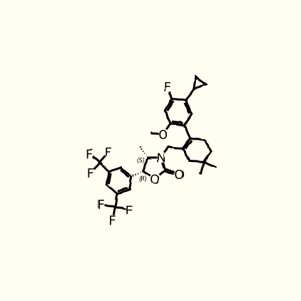 COc1cc(F)c(C2CC2)cc1C1=C(CN2C(=O)O[C@H](c3cc(C(F)(F)F)cc(C(F)(F)F)c3)[C@@H]2C)CC(C)(C)CC1